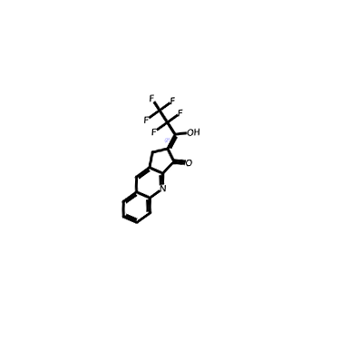 O=C1/C(=C(\O)C(F)(F)C(F)(F)F)Cc2cc3ccccc3nc21